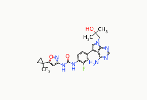 CC(C)(O)Cn1cc(-c2ccc(NC(=O)Nc3cc(C4(C(F)(F)F)CC4)on3)c(F)c2)c2c(N)ncnc21